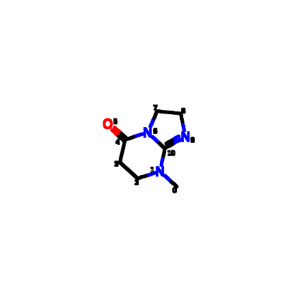 CN1CCC(=O)N2CCN=C12